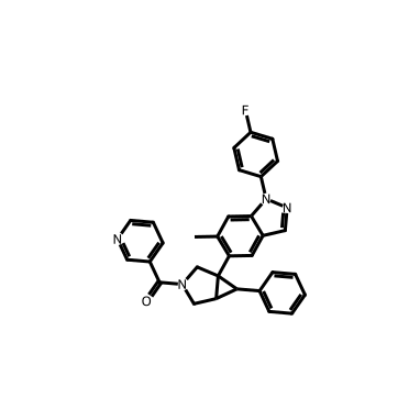 Cc1cc2c(cnn2-c2ccc(F)cc2)cc1C12CN(C(=O)c3cccnc3)CC1C2c1ccccc1